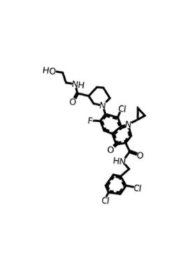 O=C(NCc1ccc(Cl)cc1Cl)c1cn(C2CC2)c2c(Cl)c(N3CCCC(C(=O)NCCO)C3)c(F)cc2c1=O